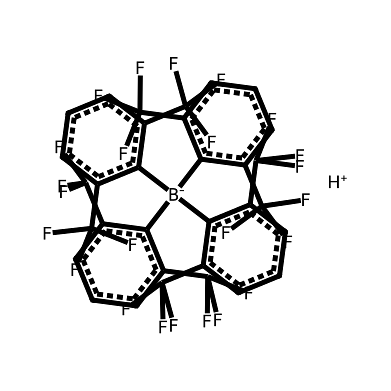 FC(F)(F)c1cccc(C(F)(F)F)c1[B-](c1c(C(F)(F)F)cccc1C(F)(F)F)(c1c(C(F)(F)F)cccc1C(F)(F)F)c1c(C(F)(F)F)cccc1C(F)(F)F.[H+]